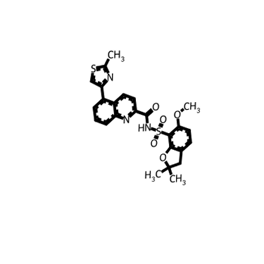 COc1ccc2c(c1S(=O)(=O)NC(=O)c1ccc3c(-c4csc(C)n4)cccc3n1)OC(C)(C)C2